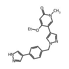 CCOc1cc(=O)n(C)cc1-c1cnn(Cc2ccc(-c3cn[nH]c3)cc2)c1